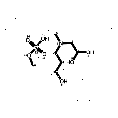 CN(CCCO)CC(O)O.COS(=O)(=O)O